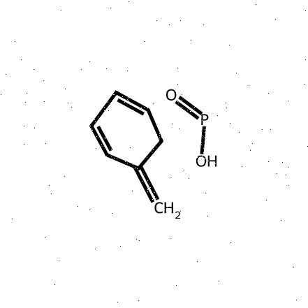 C=C1C=CC=CC1.O=PO